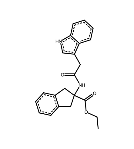 CCOC(=O)C1(NC(=O)Cc2c[nH]c3ccccc23)Cc2ccccc2C1